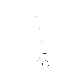 CC(O)CCCCCCCCCCC(=O)n1cnc2ccccc21